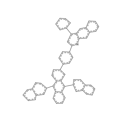 c1ccc(-c2cc(-c3ccc(-c4ccc5c(-c6ccc7ccccc7c6)c6ccccc6c(-c6ccc7ccccc7c6)c5c4)cc3)nc3cc4ccccc4cc23)cc1